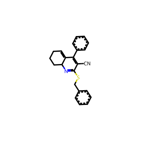 N#CC1=C(c2ccccc2)C2=CCCCC2N=C1SCc1ccccc1